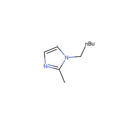 CCCCCn1[c]cnc1C